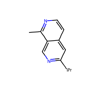 Cc1nccc2cc(C(C)C)ncc12